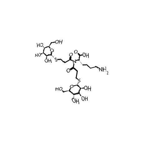 NCCCC[C@@H](C(=O)O)N(C(=O)CCS[C@H]1O[C@H](CO)[C@@H](O)[C@H](O)[C@@H]1O)C(=O)CCS[C@H]1O[C@H](CO)[C@@H](O)[C@H](O)[C@@H]1O